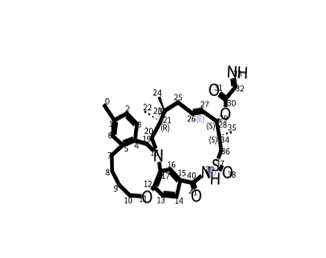 Cc1ccc2c(c1)CCCCOc1ccc3cc1N(C2)C[C@H](C)[C@@H](C)C/C=C/[C@H](OC(=O)C=N)[C@H](C)C/[SH](=O)=N\C3=O